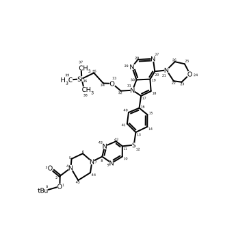 CC(C)(C)OC(=O)N1CCN(c2ncc(Sc3ccc(-c4cc5c(N6CCOCC6)ncnc5n4COCC[Si](C)(C)C)cc3)cn2)CC1